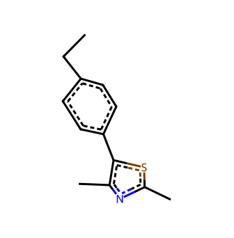 CCc1ccc(-c2sc(C)nc2C)cc1